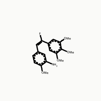 COc1ccc(/C=C(/F)c2cc(OC)c(OC)c(OC)c2)cc1N